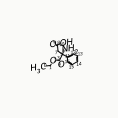 CCOC(=O)C(N)(CC(=O)O)c1ccccc1